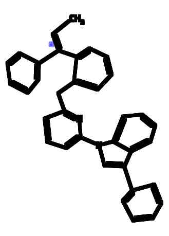 C/C=C(/c1ccccc1)c1ccccc1Cc1cccc(-n2cc(-c3ccccc3)c3ccccc32)n1